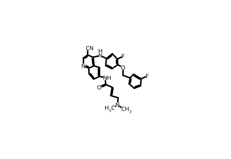 CN(C)CC=CC(=O)Nc1ccc2ncc(C#N)c(Nc3ccc(OCc4cccc(F)c4)c(F)c3)c2c1